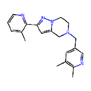 Cc1cc(CN2CCn3nc(-c4ncccc4C)cc3C2)cnc1C